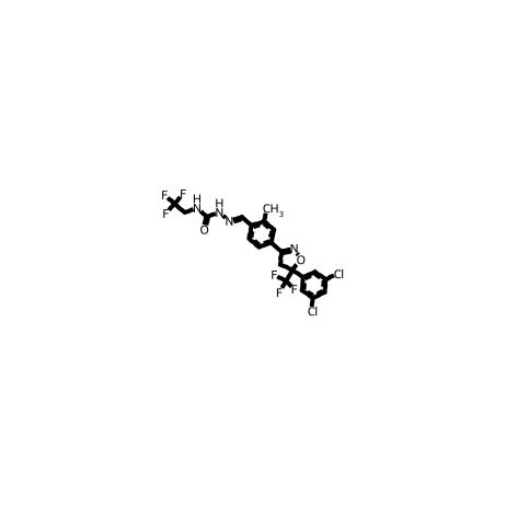 Cc1cc(C2=NOC(c3cc(Cl)cc(Cl)c3)(C(F)(F)F)C2)ccc1C=NNC(=O)NCC(F)(F)F